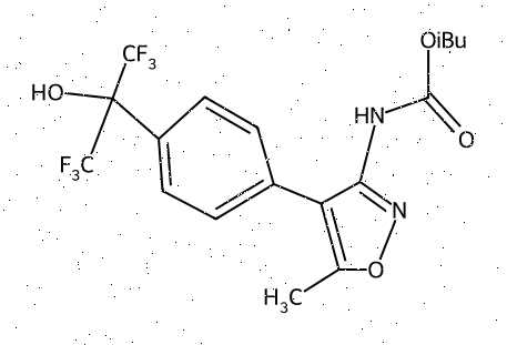 Cc1onc(NC(=O)OCC(C)C)c1-c1ccc(C(O)(C(F)(F)F)C(F)(F)F)cc1